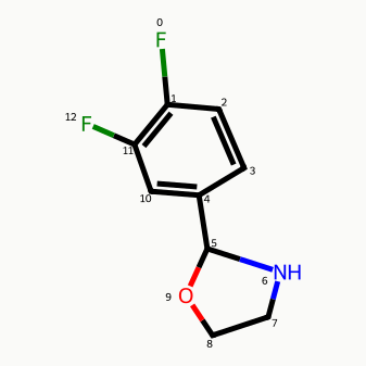 Fc1ccc(C2NCCO2)cc1F